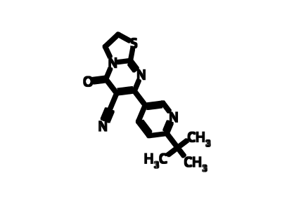 CC(C)(C)c1ccc(-c2nc3n(c(=O)c2C#N)CCS3)cn1